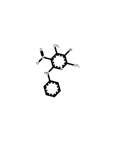 Cc1nc(Nc2c[c]ccc2)c([N+](=O)[O-])c(C)c1Br